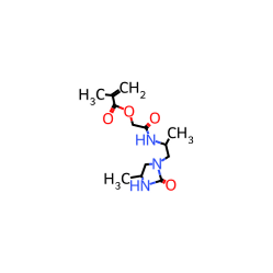 C=C(C)C(=O)OCC(=O)NC(C)CN1CC(C)NC1=O